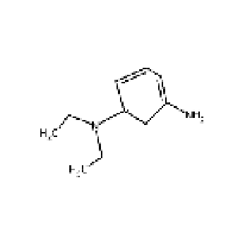 CCN(CC)[C]1C=CC=C(N)C1